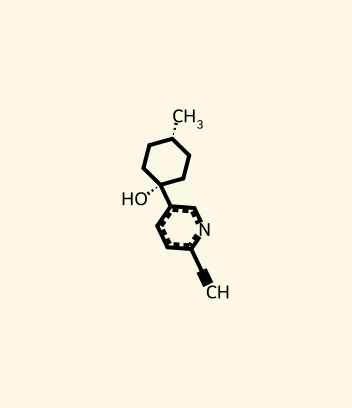 C#Cc1ccc([C@]2(O)CC[C@@H](C)CC2)cn1